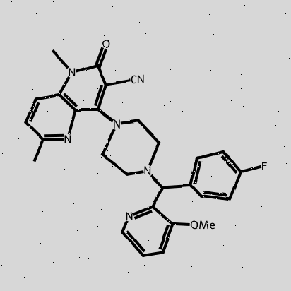 COc1cccnc1C(c1ccc(F)cc1)N1CCN(c2c(C#N)c(=O)n(C)c3ccc(C)nc23)CC1